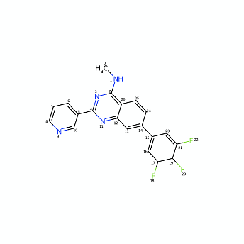 CNc1nc(-c2cccnc2)nc2cc(C3=CC(F)C(F)C(F)=C3)ccc12